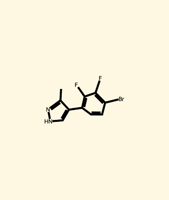 Cc1n[nH]cc1-c1ccc(Br)c(F)c1F